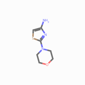 Nc1csc(N2CCOCC2)n1